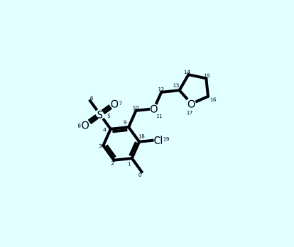 Cc1ccc(S(C)(=O)=O)c(COCC2CCCO2)c1Cl